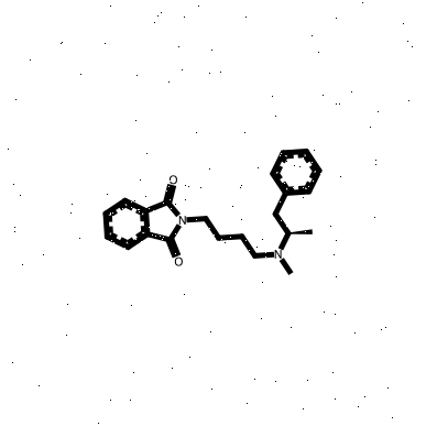 C[C@H](Cc1ccccc1)N(C)CCCCN1C(=O)c2ccccc2C1=O